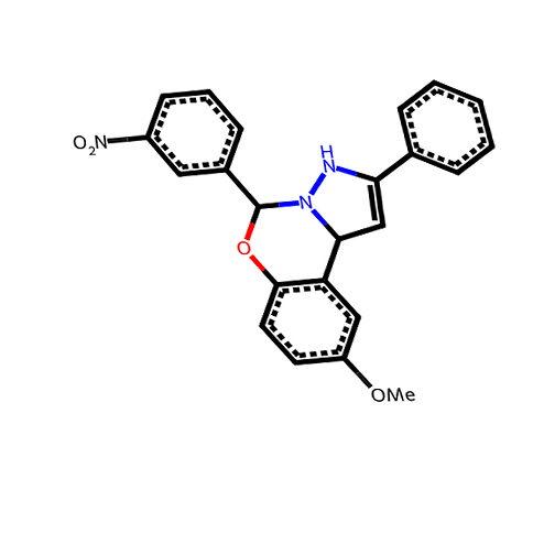 COc1ccc2c(c1)C1C=C(c3ccccc3)NN1C(c1cccc([N+](=O)[O-])c1)O2